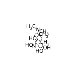 CC/N=C(/C)C1CC[C@@]2(O)C3=C/C(=N\O)C4CC(O)C(O)CC4(C)C3CCC12C